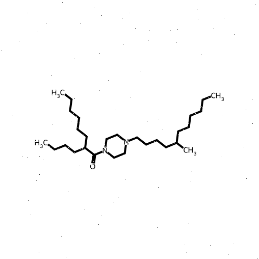 CCCCCCC(C)CCCCN1CCN(C(=O)C(CCCC)CCCCCC)CC1